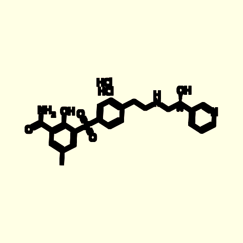 Cc1cc(C(N)=O)c(O)c(S(=O)(=O)c2ccc(CCNC[C@H](O)c3cccnc3)cc2)c1.Cl.Cl